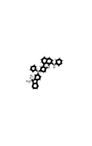 CC1(C)c2ccccc2-c2ccc(N(c3ccccc3)c3ccc4c(c3)-c3cccc5ccc(Nc6ccccc6)c(c35)O4)cc21